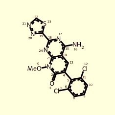 COn1c(=O)c(-c2c(Cl)cccc2Cl)cc2c(N)nc(-c3nncs3)nc21